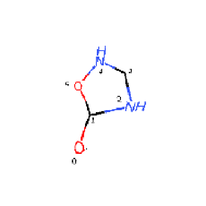 [O]C1NCNO1